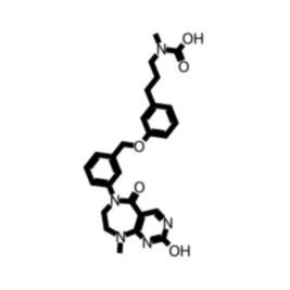 CN(CCCc1cccc(OCc2cccc(N3CCN(C)c4nc(O)ncc4C3=O)c2)c1)C(=O)O